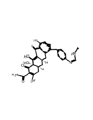 CN/C=N\c1ccc(-c2ccc(O)c3c2C[C@H]2C[C@H]4CC(O)=C(C(N)=O)C(=O)[C@@]4(O)C(O)=C2C3=O)cc1